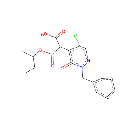 CCC(C)OC(=O)C(C(=O)O)c1c(Cl)cnn(Cc2ccccc2)c1=O